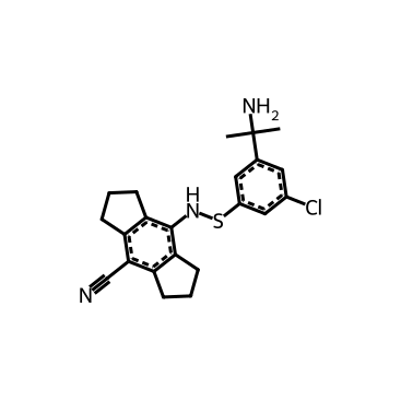 CC(C)(N)c1cc(Cl)cc(SNc2c3c(c(C#N)c4c2CCC4)CCC3)c1